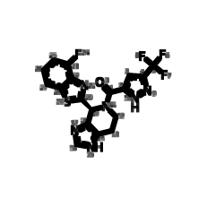 O=C(c1cc(C(F)(F)F)n[nH]1)N1CCc2[nH]cnc2[C@H]1c1nc2c(F)cccc2s1